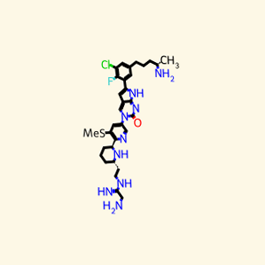 CSc1cc(-n2cc3cc(-c4cc(CCC[C@H](C)N)cc(Cl)c4F)[nH]c3nc2=O)cnc1[C@@H]1CCC[C@@H](CCNC(=N)CN)N1